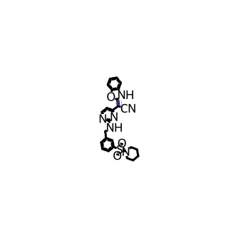 N#C/C(=C1\Nc2ccccc2O1)c1ccnc(NCc2cccc(S(=O)(=O)N3CCCCC3)c2)n1